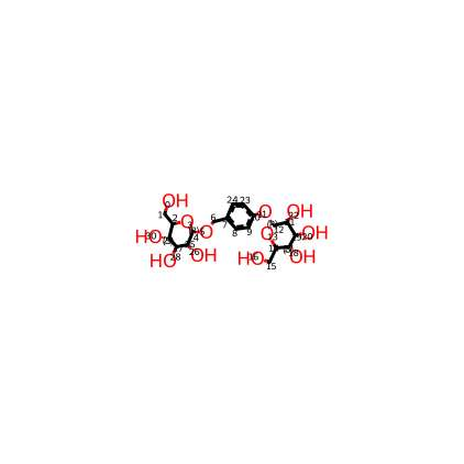 OCC1O[C@@H](OCc2ccc(O[C@H]3OC(CO)[C@@H](O)C(O)C3O)cc2)C(O)C(O)[C@@H]1O